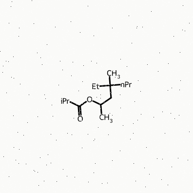 CCCC(C)(CC)CC(C)OC(=O)C(C)C